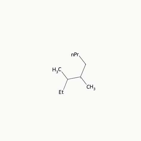 CCCC[C](C)C(C)CC